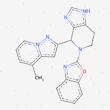 Cc1cccn2nc(C3c4nc[nH]c4CCN3c3nc4ccccc4o3)cc12